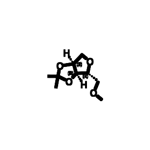 COC[C@H]1OC[C@@H]2OC(C)(C)O[C@@H]21